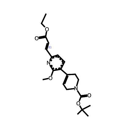 CCOC(=O)/C=C/c1ccc(C2=CCN(C(=O)OC(C)(C)C)CC2)c(OC)n1